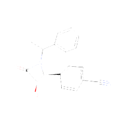 CC(c1ccccc1)N1C(=O)[C@H](O)[C@@H]1c1ccc(C#N)cc1